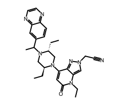 CC[C@H]1CN(C(C)c2ccc3nccnc3c2)[C@H](CC)CN1c1cc(=O)n(CC)c2cn(CC#N)nc12